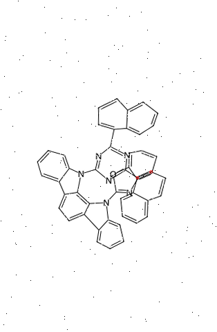 c1ccc2c(-c3nc(-c4cccc5ccccc45)nc(-n4c5ccccc5c5ccc6c7ccccc7n(-c7nc8ccccc8o7)c6c54)n3)cccc2c1